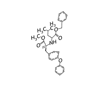 COC(=O)[C@H](Cc1ccc(Oc2ccccc2)cc1)NC(CC(C)C)C(=O)OCc1ccccc1